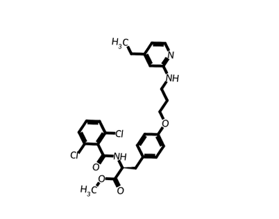 CCc1ccnc(NCCCOc2ccc(C[C@H](NC(=O)c3c(Cl)cccc3Cl)C(=O)OC)cc2)c1